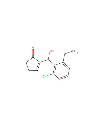 CCc1c[c]cc(Cl)c1C(O)C1=CCCC1=O